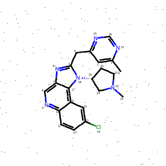 Cc1cc(Cc2nc3cnc4ccc(Cl)cc4c3n2[C@@H]2CCN(C)C2)ncn1